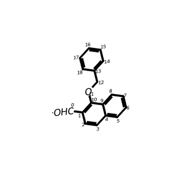 O=[C]c1ccc2ccccc2c1OCc1ccccc1